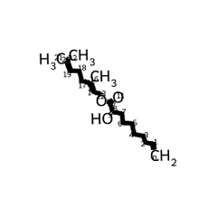 C=CCCCCCCC(O)C(=O)OC/C=C(\C)CCC=C(C)C